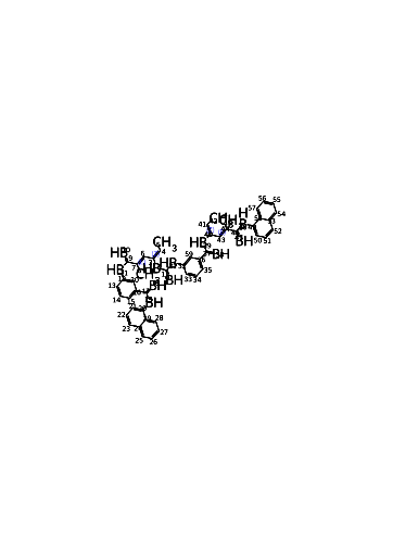 B=C(BC(=C/C)/C=C(\C)C(=B)Bc1cccc(C(=B)Bc2cccc3ccccc23)c1)Bc1cccc(C(=B)BC(=C/C)/C=C(\C)C(=B)Bc2cccc3ccccc23)c1